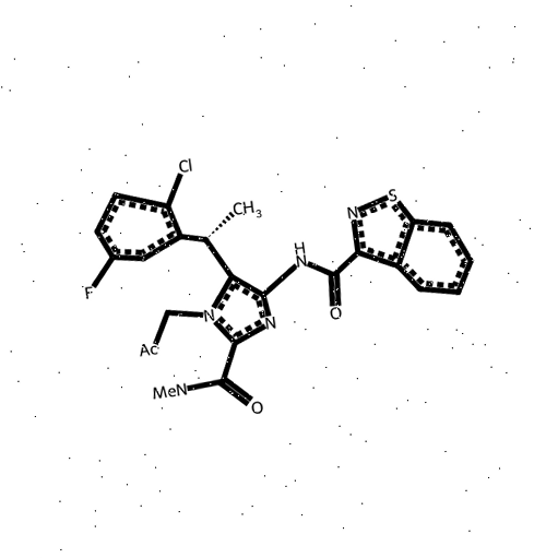 CNC(=O)c1nc(NC(=O)c2nsc3ccccc23)c([C@@H](C)c2cc(F)ccc2Cl)n1CC(C)=O